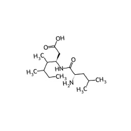 CCC(C)C(C)[C@@H](CC(=O)O)NC(=O)[C@@H](N)CC(C)C